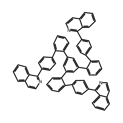 c1ccc(-c2cc(-c3ccccc3-c3ccc(-c4nccc5ccccc45)cc3)cc(-c3ccccc3-c3ccc(-c4nccc5ccccc45)cc3)c2)c(-c2ccc(-c3nccc4ccccc34)cc2)c1